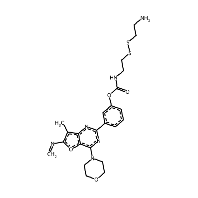 C=Nc1oc2c(N3CCOCC3)nc(-c3cccc(OC(=O)NCCSSCCN)c3)nc2c1C